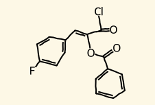 O=C(Cl)C(=Cc1ccc(F)cc1)OC(=O)c1ccccc1